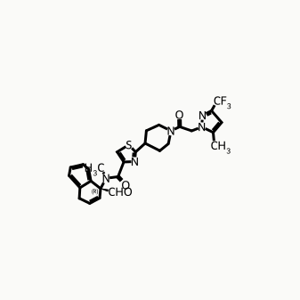 Cc1cc(C(F)(F)F)nn1CC(=O)N1CCC(c2nc(C(=O)N(C)[C@]3(C=O)C=CCc4ccccc43)cs2)CC1